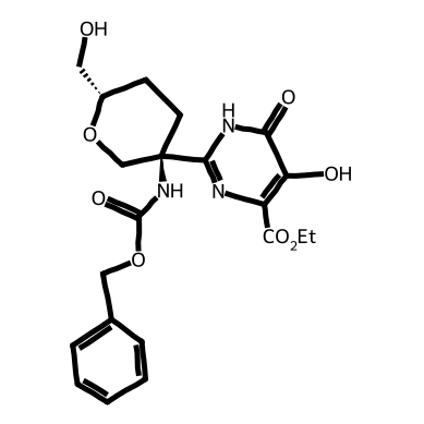 CCOC(=O)c1nc([C@@]2(NC(=O)OCc3ccccc3)CC[C@@H](CO)OC2)[nH]c(=O)c1O